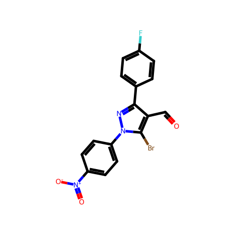 O=Cc1c(-c2ccc(F)cc2)nn(-c2ccc([N+](=O)[O-])cc2)c1Br